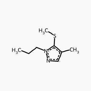 CCCn1n[c]c(C)c1SC